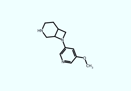 COc1cncc(N2CC3CCNCC32)c1